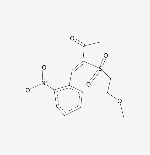 COCCS(=O)(=O)C(=Cc1ccccc1[N+](=O)[O-])C(C)=O